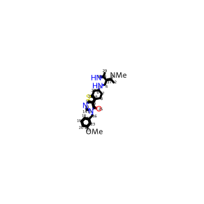 CN/C(C)=C(/CNC1CCc2c(sc3ncn(Cc4cccc(OC)c4)c(=O)c23)C1)C(C)=N